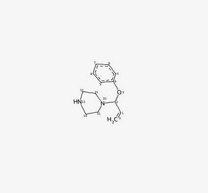 C=CC(Oc1ccccc1)N1CCNCC1